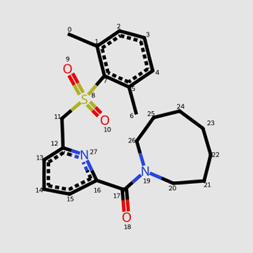 Cc1cccc(C)c1S(=O)(=O)Cc1cccc(C(=O)N2CCCCCCC2)n1